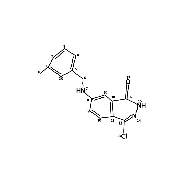 Cc1cccc(CNc2ccc3c(Cl)n[nH]c(=O)c3c2)c1